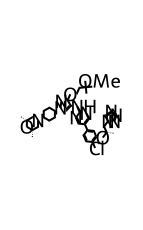 COC(C)(C)CCOc1nn([C@H]2CC[C@H](N3C[C@@H](C)O[C@@H](C)C3)CC2)cc1Nc1ncc(-c2ccc(Cl)c(O[C@@H](C)Cn3cnnn3)c2)cn1